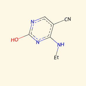 CCNc1nc(O)ncc1C#N